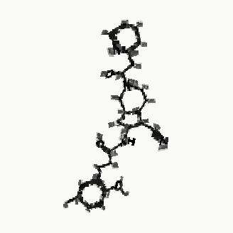 COc1ccc(C)cc1CCC(=O)Nc1sc2c(c1C#N)CCN(C(=O)Cc1ccccn1)C2